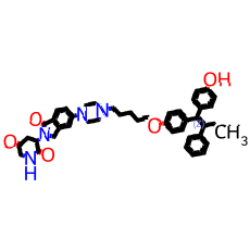 CC/C(=C(\c1ccc(O)cc1)c1ccc(OCCCCCN2CCN(c3ccc4c(c3)CN(C3CC(=O)CNC3=O)C4=O)CC2)cc1)c1ccccc1